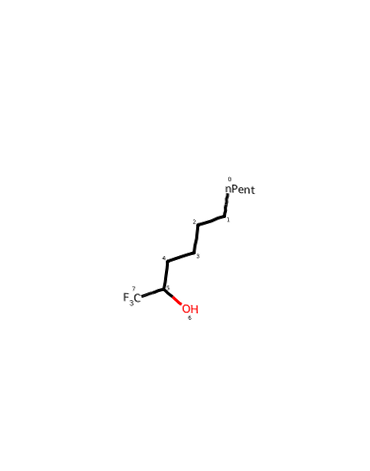 [CH2]CCCCCCCCC(O)C(F)(F)F